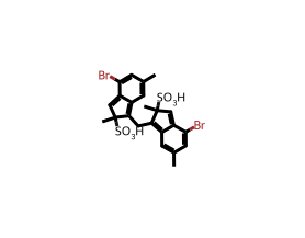 Cc1cc(Br)c2c(c1)=C(CC1=c3cc(C)cc(Br)c3=CC1(C)S(=O)(=O)O)C(C)(S(=O)(=O)O)C=2